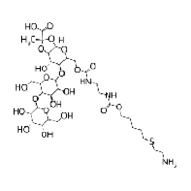 C[C@]1(C(=O)O)OC2[C@H](OC(COC(=O)NCCNC(=O)OCCCCCSCCN)[C@@H](O[C@@H]3OC(CO)[C@H](O[C@H]4OC(CO)[C@H](O)[C@H](O)C4O)[C@H](O)C3O)[C@@H]2O)O1